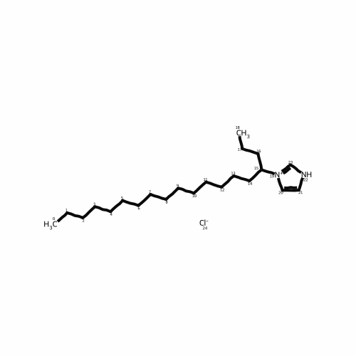 CCCCCCCCCCCCCCCC(CCC)[n+]1cc[nH]c1.[Cl-]